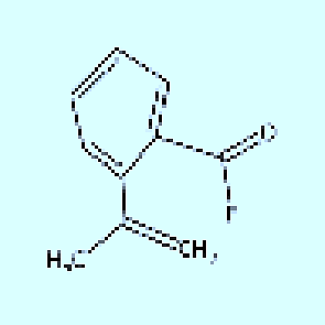 C=C(C)c1ccccc1C(=O)F